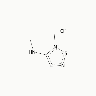 CNc1cns[n+]1C.[Cl-]